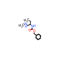 CCC(CNC)NC(=O)OCc1ccccc1